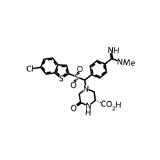 CNC(=N)c1ccc(C(N2CC(=O)N[C@@H](C(=O)O)C2)S(=O)(=O)c2cc3ccc(Cl)cc3s2)cc1